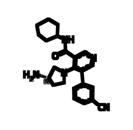 N#Cc1cccc(-c2cncc(C(=O)NC3CCCCC3)c2N2CC[C@H](N)C2)c1